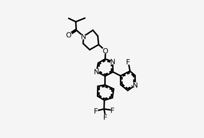 CC(C)C(=O)N1CCC(Oc2cnc(-c3ccc(C(F)(F)F)cc3)c(-c3ccncc3F)n2)CC1